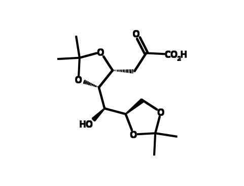 CC1(C)OC[C@H]([C@@H](O)[C@@H]2OC(C)(C)O[C@@H]2CC(=O)C(=O)O)O1